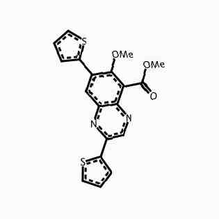 COC(=O)c1c(OC)c(-c2cccs2)cc2nc(-c3cccs3)cnc12